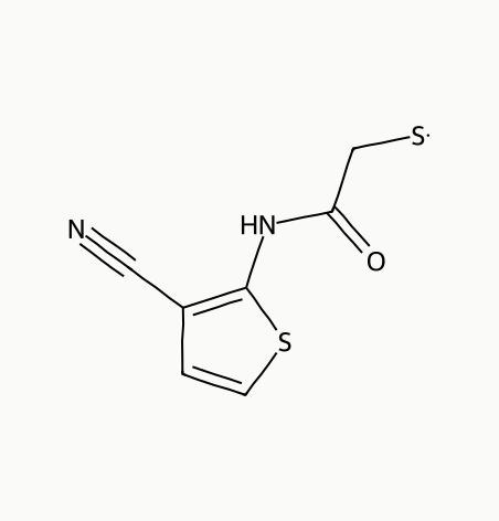 N#Cc1ccsc1NC(=O)C[S]